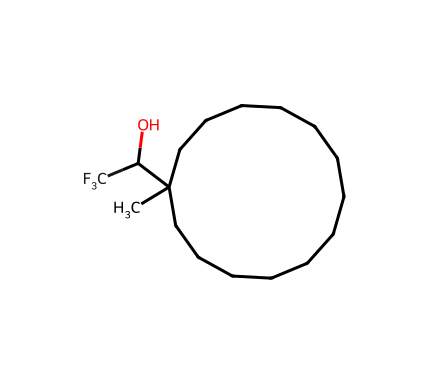 CC1(C(O)C(F)(F)F)CCCCCCCCCCCCC1